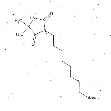 CCCCCCCCCCCCCCCCCCN1C(=O)NC(C)(C)C1=O